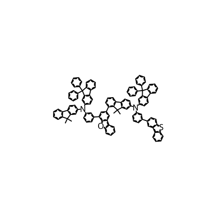 CC1(C)c2ccccc2-c2ccc(N(c3cccc(-c4cc(-c5cccc6c5C(C)(C)c5cc(N(c7cccc(-c8ccc9sc%10ccccc%10c9c8)c7)c7ccc8c(c7)C(c7ccccc7)(c7ccccc7)c7ccccc7-8)ccc5-6)cc5c4oc4ccccc45)c3)c3ccc4c(c3)C(c3ccccc3)(c3ccccc3)c3ccccc3-4)cc21